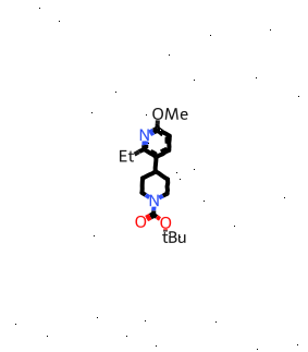 CCc1nc(OC)ccc1C1CCN(C(=O)OC(C)(C)C)CC1